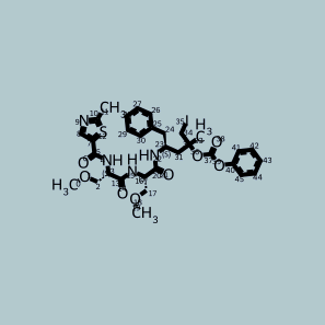 COC[C@H](NC(=O)c1cnc(C)s1)C(=O)N[C@@H](COC)C(=O)N[C@@H](Cc1ccccc1)CC(C)(CI)OC(=O)Oc1ccccc1